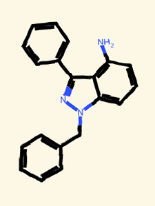 Nc1cccc2c1c(-c1ccccc1)nn2Cc1ccccc1